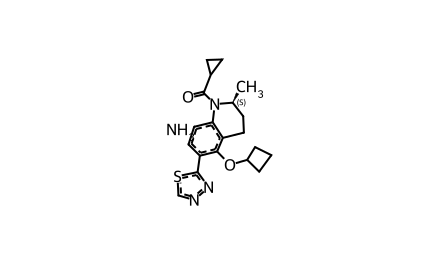 C[C@H]1CCc2c(ccc(-c3nncs3)c2OC2CCC2)N1C(=O)C1CC1.N